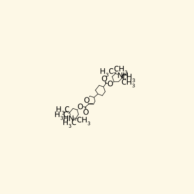 CC1(C)CC(OC(=O)C2=CCC(C3CCC(C(=O)OC4CC(C)(C)NC(C)(C)C4)CC3)CO2)CC(C)(C)N1